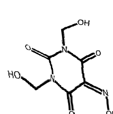 O=C1C(=NO)C(=O)N(CO)C(=O)N1CO